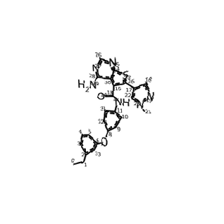 CCc1cccc(Oc2ccc(NC(=O)c3c(-c4cnn(C)c4)sc4ncnc(N)c34)cc2)c1